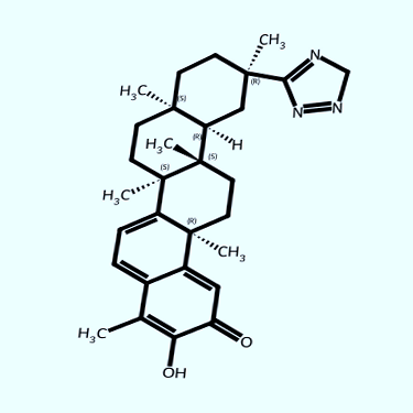 CC1=C(O)C(=O)C=C2C1=CC=C1[C@@]2(C)CC[C@@]2(C)[C@@H]3C[C@](C)(C4=NCN=N4)CC[C@]3(C)CC[C@]12C